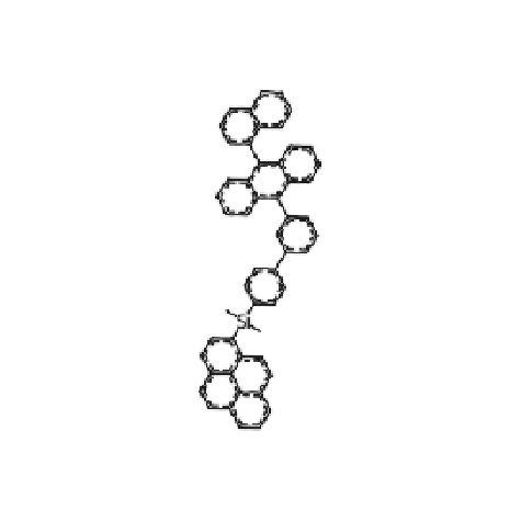 C[Si](C)(c1ccc(-c2cccc(-c3c4ccccc4c(-c4cccc5ccccc45)c4ccccc34)c2)cc1)c1ccc2ccc3cccc4ccc1c2c34